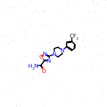 NC(=O)c1nc(N2CCN(c3cccc(C(F)(F)F)c3)CC2)no1